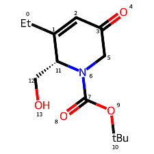 CCC1=CC(=O)CN(C(=O)OC(C)(C)C)[C@@H]1CO